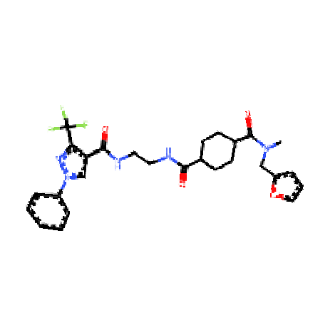 CN(Cc1ccco1)C(=O)C1CCC(C(=O)NCCNC(=O)c2cn(-c3ccccc3)nc2C(F)(F)F)CC1